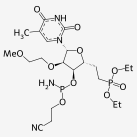 CCOP(=O)(CC[C@H]1O[C@@H](n2cc(C)c(=O)[nH]c2=O)[C@H](OCCOC)[C@@H]1OP(N)OCCC#N)OCC